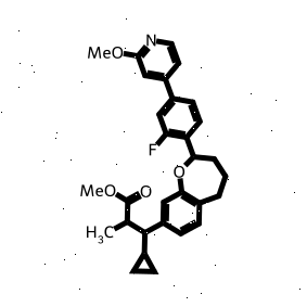 COC(=O)C(C)C(c1ccc2c(c1)OC(c1ccc(-c3ccnc(OC)c3)cc1F)CCC2)C1CC1